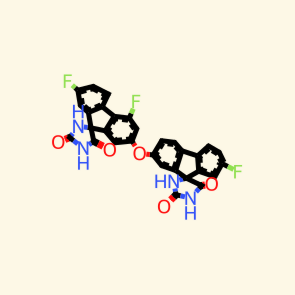 O=C1NC(=O)C2(N1)c1cc(F)ccc1-c1ccc(Oc3cc(F)c4c(c3)C3(NC(=O)NC3=O)c3cc(F)ccc3-4)cc12